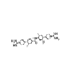 COc1cc(NC(=O)c2ccc(C3=CCN(C(=N)N)CC3)c(F)c2)c(C)cc1C1=CCN(C(=N)N)CC1